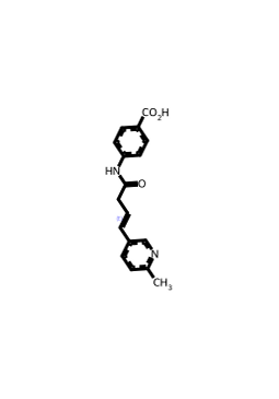 Cc1ccc(/C=C/CC(=O)Nc2ccc(C(=O)O)cc2)cn1